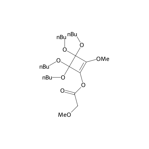 CCCCOC1(OCCCC)C(OC)=C(OC(=O)COC)C1(OCCCC)OCCCC